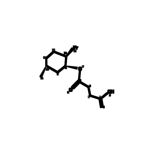 C=C(O)CCC(=O)O[C@@H]1C[C@H](C)CC[C@H]1C(C)C